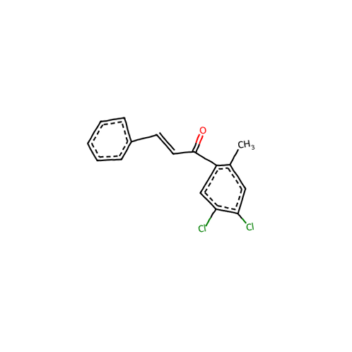 Cc1cc(Cl)c(Cl)cc1C(=O)C=Cc1ccccc1